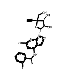 C#C[C@]1(CO)O[C@@H](n2ncc3c(N[C@@H](C)c4ccccc4F)cc(Cl)nc32)[C@H](O)[C@@H]1O